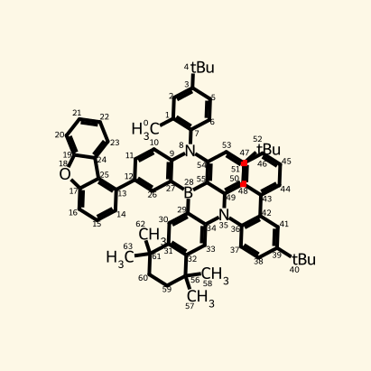 Cc1cc(C(C)(C)C)ccc1N1c2ccc(-c3cccc4oc5ccccc5c34)cc2B2c3cc4c(cc3N(c3ccc(C(C)(C)C)cc3-c3ccccc3)c3cc(C(C)(C)C)cc1c32)C(C)(C)CCC4(C)C